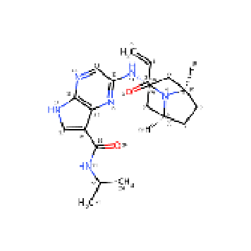 C=CC(=O)N1[C@@H]2CC[C@H]1C[C@H](Nc1cnc3[nH]cc(C(=O)NC(C)C)c3n1)C2